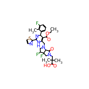 CCOC(=O)C1=C(CN2CC(F)C3(F)CN(CC(C)(C)C(=O)O)C(=O)C23)NC(c2nccs2)=NC1c1cccc(F)c1C